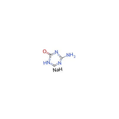 Nc1nc[nH]c(=O)n1.[NaH]